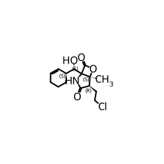 C[C@@]12OC(=O)C1([C@@H](O)[C@@H]1C=CCCC1)NC(=O)[C@@H]2CCCl